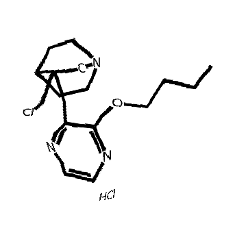 CCCCOc1nccnc1C1(Cl)CN2CCC1CC2.Cl